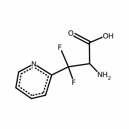 NC(C(=O)O)C(F)(F)c1ccccn1